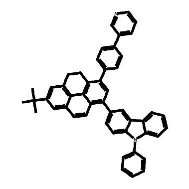 CC(C)(C)c1cc2c3c(ccc4c(-c5ccc6c(c5)c5ccccc5n6-c5ccccc5)cc(-c5ccc(-c6cccnc6)cc5)c(c43)CC2)c1